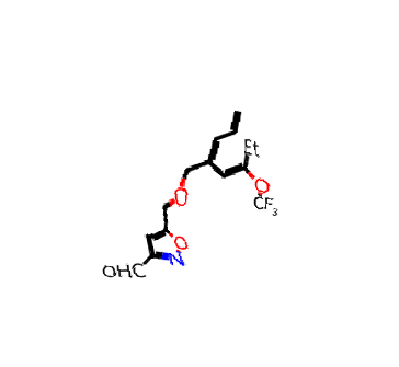 C=C/C=C(\C=C(/CC)OC(F)(F)F)COCc1cc(C=O)no1